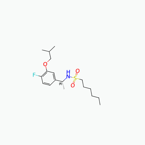 CCCCCCS(=O)(=O)N[C@H](C)c1ccc(F)c(OCC(C)C)c1